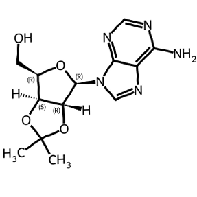 CC1(C)O[C@@H]2[C@@H](O1)[C@@H](CO)O[C@H]2n1cnc2c(N)ncnc21